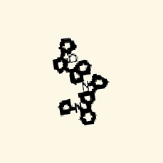 c1ccc(-n2c3ccccc3c3cc4c5ccccc5n(-c5ccc(-c6cccc7c6oc6ccccc67)c6ccccc56)c4cc32)cc1